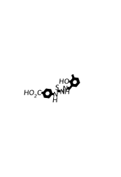 Cc1cccc(C=NNC(=S)Nc2ccc(C(=O)O)cc2)c1O